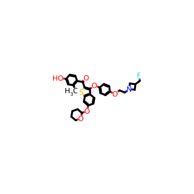 Cc1cc(O)ccc1C(=O)c1sc2cc(OC3CCCCO3)ccc2c1Oc1ccc(OCCN2CC(CF)C2)cc1